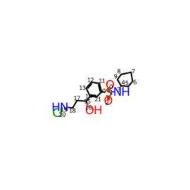 O=S(=O)(NC1CCCCC1)c1cccc(C(O)CCNCl)c1